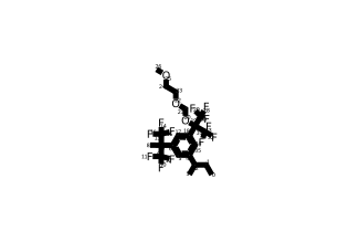 CCC(C)c1cc(C(C)(C(F)(F)F)C(F)(F)F)cc(C(OCOCCOC)(C(F)(F)F)C(F)(F)F)c1